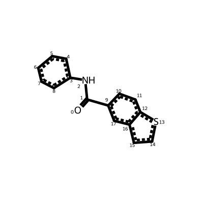 O=C(Nc1ccccc1)c1ccc2sccc2c1